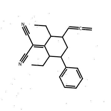 C=C=CC1CC(c2ccccc2)C(CC)C(=C(C#N)C#N)C1CC